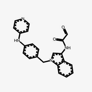 O=CC(=O)Nc1cn(Cc2ccc(Nc3ccncc3)cc2)c2ccccc12